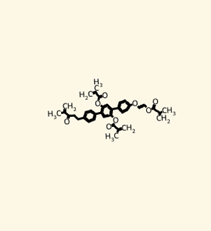 C=C(C)C(=O)CCc1ccc(-c2cc(OC(=O)C(=C)C)c(-c3ccc(O/C=C/OC(=O)C(=C)C)cc3)cc2OC(=O)C(=C)C)cc1